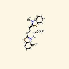 CCc1cccc2sc(C=CC=C3Sc4ccccc4N3CC)[n+](CCC(=O)O)c12